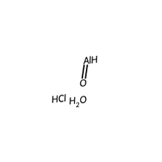 Cl.O.[O]=[AlH]